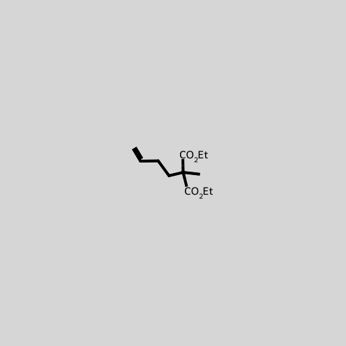 C=CCCC(C)(C(=O)OCC)C(=O)OCC